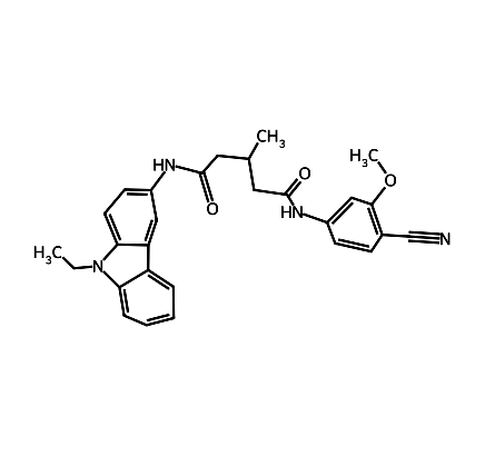 CCn1c2ccccc2c2cc(NC(=O)CC(C)CC(=O)Nc3ccc(C#N)c(OC)c3)ccc21